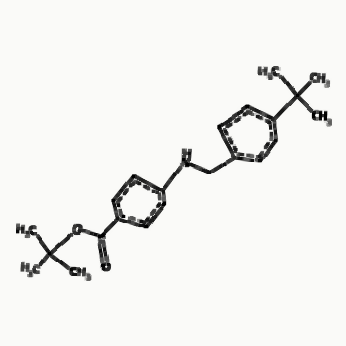 CC(C)(C)OC(=O)c1ccc(NCc2ccc(C(C)(C)C)cc2)cc1